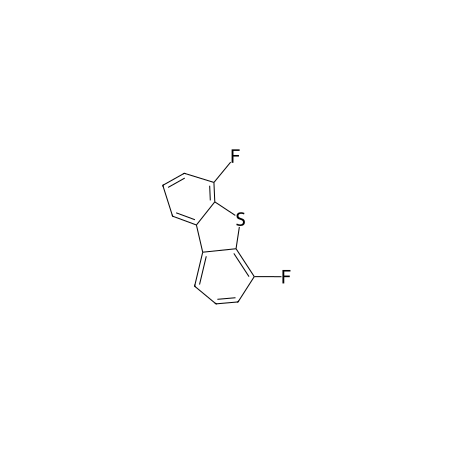 Fc1cccc2c1sc1c(F)cccc12